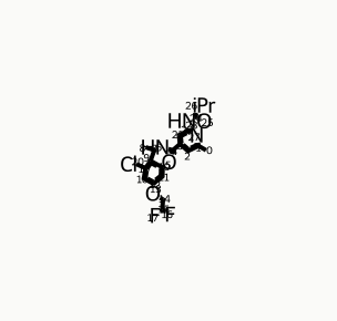 Cc1cc(C(=O)NC(C)c2ccc(OCC(F)F)cc2Cl)cc(NC(=O)C(C)C)n1